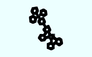 c1ccc([Si](c2ccccc2)(c2ccccc2)c2ccc(-c3ccc4c(c3)c3ccccc3n3c4nc4c5ccccc5c5ccccc5c43)cc2)cc1